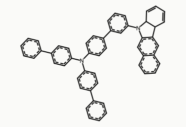 C1=CC2c3cc4ccccc4cc3N(c3cccc(-c4ccc(N(c5ccc(-c6ccccc6)cc5)c5ccc(-c6ccccc6)cc5)cc4)c3)C2C=C1